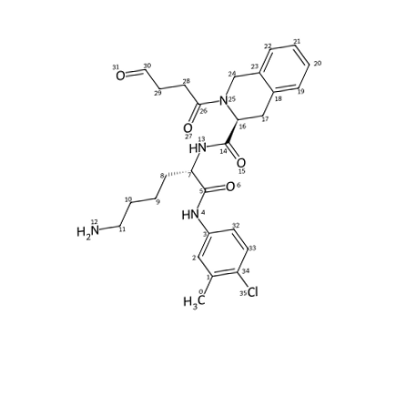 Cc1cc(NC(=O)[C@H](CCCCN)NC(=O)[C@@H]2Cc3ccccc3CN2C(=O)CCC=O)ccc1Cl